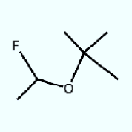 CC(F)OC(C)(C)C